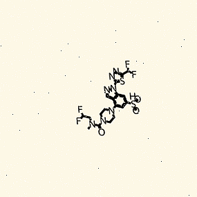 CN(CC(F)F)C(=O)N1CCN(c2cc([SH](=O)=O)cc3c2cnn3-c2nnc(C(F)F)s2)CC1